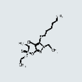 CCCCCCSc1c(Cl)c(OP(=S)(CC)OCC)nn1CC